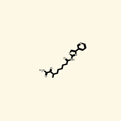 CC(CCCCCC(=O)Nc1nc(-c2cccnc2)cs1)C(=O)C(N)=O